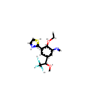 C=Nc1cc(C(OC)C(F)(F)F)cc(-c2nccs2)c1OCC